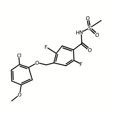 COc1ccc(Cl)c(OCc2cc(F)c(C(=O)NS(C)(=O)=O)cc2F)c1